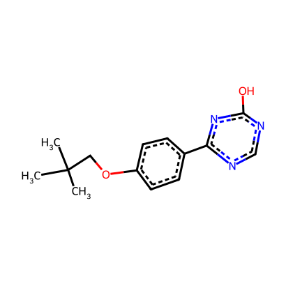 CC(C)(C)COc1ccc(-c2ncnc(O)n2)cc1